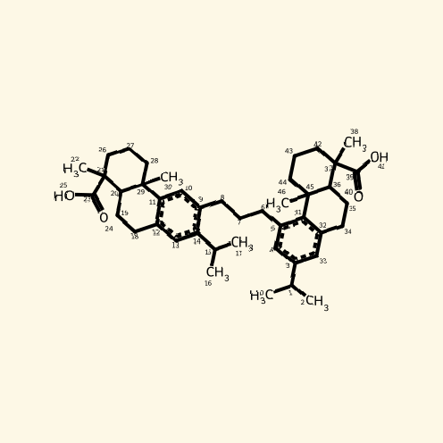 CC(C)c1cc(CCCc2cc3c(cc2C(C)C)CCC2C(C)(C(=O)O)CCCC32C)c2c(c1)CCC1C(C)(C(=O)O)CCCC21C